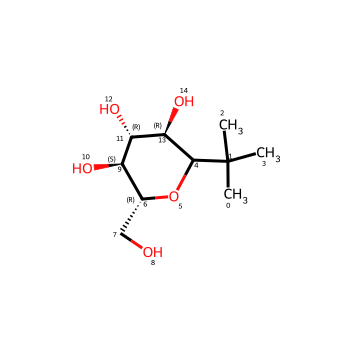 CC(C)(C)C1O[C@H](CO)[C@@H](O)[C@H](O)[C@H]1O